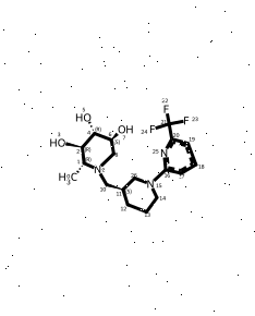 C[C@@H]1[C@@H](O)[C@H](O)[C@@H](O)CN1C[C@@H]1CCCN(c2cccc(C(F)(F)F)n2)C1